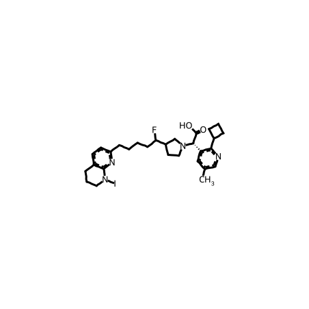 Cc1cnc(C2CCC2)c([C@@H](C(=O)O)N2CCC(C(F)CCCCc3ccc4c(n3)N(I)CCC4)C2)c1